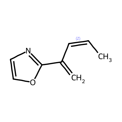 C=C(/C=C\C)c1ncco1